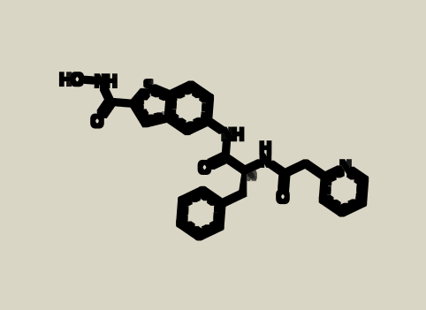 O=C(Cc1ccccn1)N[C@@H](Cc1ccccc1)C(=O)Nc1ccc2sc(C(=O)NO)cc2c1